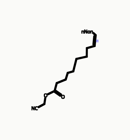 CCCCCCCCC/C=C\CCCCCCCC(=O)OCC#N